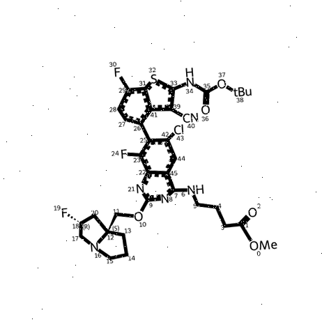 COC(=O)CCCNc1nc(OC[C@@]23CCCN2C[C@H](F)C3)nc2c(F)c(-c3ccc(F)c4sc(NC(=O)OC(C)(C)C)c(C#N)c34)c(Cl)cc12